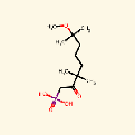 COC(C)(C)CCCC(C)(C)C(=O)CP(=O)(O)O